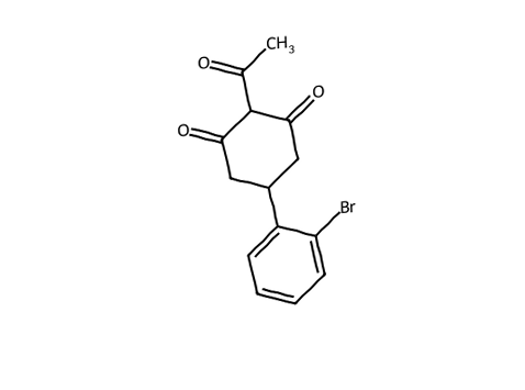 CC(=O)C1C(=O)CC(c2ccccc2Br)CC1=O